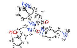 Cc1ccccc1C1(O)CCN(C(=O)N[C@@H](C(=O)Nc2cccc(CN(C)C)c2)[C@@H](C)c2c[nH]c3ccccc23)CC1